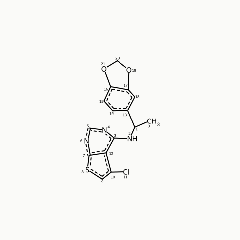 CC(Nc1ncnc2scc(Cl)c12)c1ccc2c(c1)OCO2